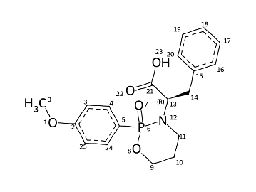 COc1ccc(P2(=O)OCCCN2[C@H](Cc2ccccc2)C(=O)O)cc1